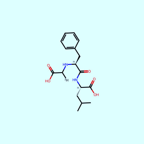 [2H]C(N[C@@H](Cc1ccccc1)C(=O)N[C@@H](CC(C)C)C(=O)O)C(=O)O